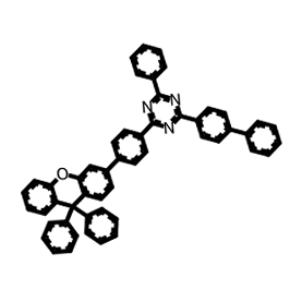 c1ccc(-c2ccc(-c3nc(-c4ccccc4)nc(-c4ccc(-c5ccc6c(c5)Oc5ccccc5C6(c5ccccc5)c5ccccc5)cc4)n3)cc2)cc1